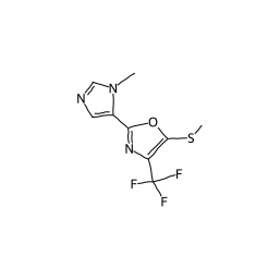 CSc1oc(-c2cncn2C)nc1C(F)(F)F